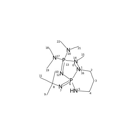 CN1CCCNP1(=NC(C)(C)C)N=P(N(C)C)(N(C)C)N(C)C